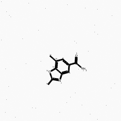 Cc1nc2cc(C(N)=O)cc(C)c2o1